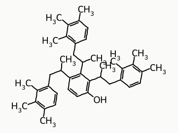 Cc1ccc(CC(C)c2ccc(O)c(C(C)Cc3ccc(C)c(C)c3C)c2C(C)Cc2ccc(C)c(C)c2C)c(C)c1C